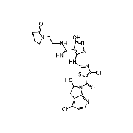 N=C(NCCN1CCCC1=O)c1c(O)nsc1Nc1nc(Cl)c(C(=O)N2c3nccc(Cl)c3CC2O)s1